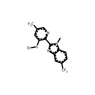 CCSc1cc(C(F)(F)F)cnc1-c1nc2cc(C(F)(F)F)ccc2n1C